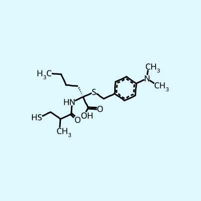 CCCC[C@](NC(=O)C(C)CS)(SCc1ccc(N(C)C)cc1)C(=O)O